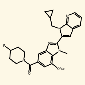 COc1cc(C(=O)N2C[CH]C(F)CC2)cc2nc(-c3cc4cccnc4n3CC3CC3)n(C)c12